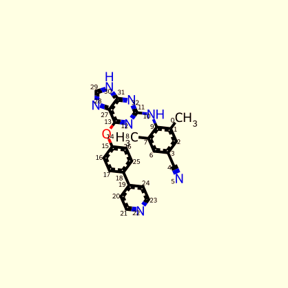 Cc1cc(C#N)cc(C)c1Nc1nc(Oc2ccc(-c3ccncc3)cc2)c2nc[nH]c2n1